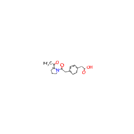 CC(=O)[C@@H]1CCCN1C(=O)Cc1ccc(CC(=O)O)cc1